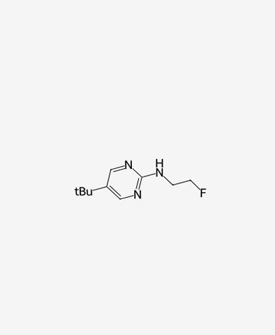 CC(C)(C)c1cnc(NCCF)nc1